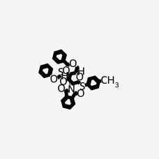 Cc1ccc(SC2O[C@@H]3COC(c4ccccc4)O[C@H]3[C@H](OC(=S)Oc3ccccc3)[C@H]2N2C(=O)c3ccccc3C2=O)cc1